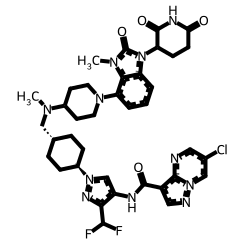 CN(C[C@H]1CC[C@H](n2cc(NC(=O)c3cnn4cc(Cl)cnc34)c(C(F)F)n2)CC1)C1CCN(c2cccc3c2n(C)c(=O)n3C2CCC(=O)NC2=O)CC1